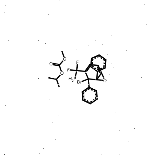 COC(=O)OC(C)C.FC(F)(P)C1=CC=C2OC2(c2ccccc2)C1(Br)c1ccccc1